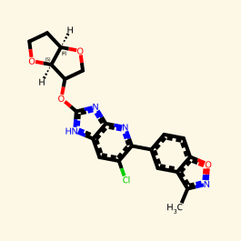 Cc1noc2ccc(-c3nc4nc(OC5CO[C@@H]6CCO[C@H]56)[nH]c4cc3Cl)cc12